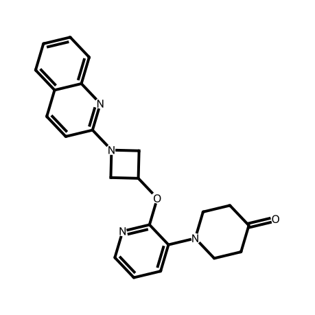 O=C1CCN(c2cccnc2OC2CN(c3ccc4ccccc4n3)C2)CC1